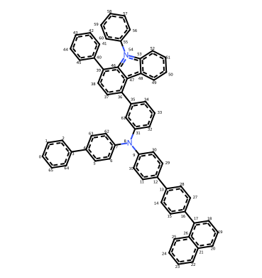 c1ccc(-c2ccc(N(c3ccc(-c4ccc(-c5cccc6ccccc56)cc4)cc3)c3cccc(-c4ccc(-c5ccccc5)c5c4c4ccccc4n5-c4ccccc4)c3)cc2)cc1